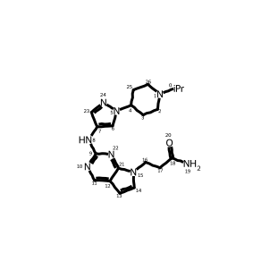 CC(C)N1CCC(n2cc(Nc3ncc4ccn(CCC(N)=O)c4n3)cn2)CC1